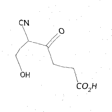 N#CC(CO)C(=O)CCC(=O)O